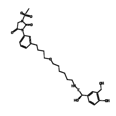 CS(=O)(=O)N1CC(=O)N(c2cccc(CCCCOCCCCCCNC[C@H](O)c3ccc(O)c(CO)c3)c2)C1=O